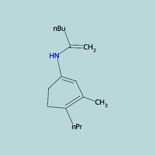 C=C(CCCC)NC1=CC(C)=C(CCC)CC1